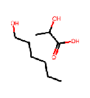 CC(O)C(=O)O.CCCCCCO